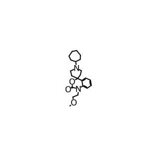 COCCN1C(=O)OC2(CCN(C3CCCCCC3)CC2)c2ccccc21